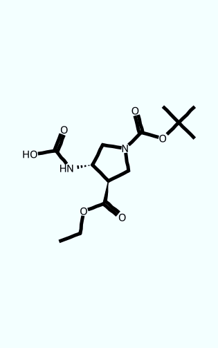 CCOC(=O)[C@@H]1CN(C(=O)OC(C)(C)C)C[C@H]1NC(=O)O